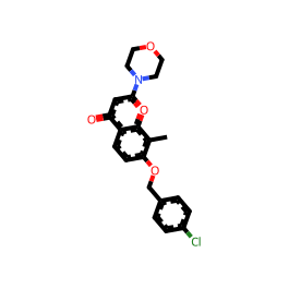 Cc1c(OCc2ccc(Cl)cc2)ccc2c(=O)cc(N3CCOCC3)oc12